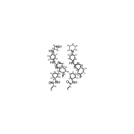 C=CC(=O)Nc1cccc(-c2c(F)ccc3cnc(Nc4ccc(N5CCCCC5)cc4)nc23)c1.C=CC(=O)Nc1cccc(-c2c(F)ccc3cnc(Nc4ccc(NC5CNC5)cc4)nc23)c1